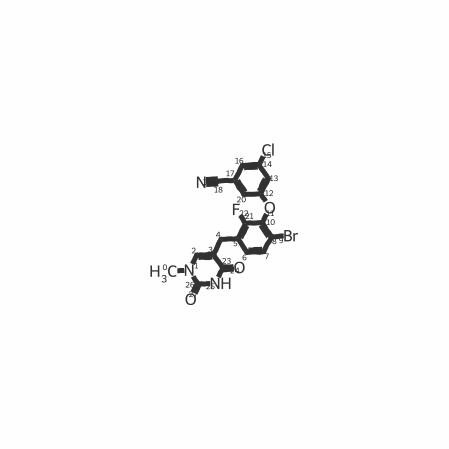 Cn1cc(Cc2ccc(Br)c(Oc3cc(Cl)cc(C#N)c3)c2F)c(=O)[nH]c1=O